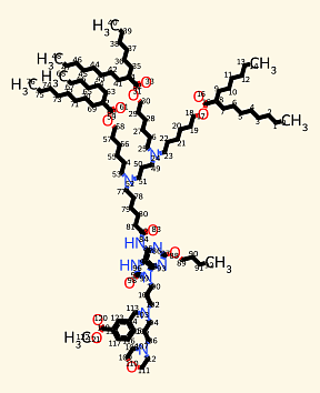 CCCCCCCCC(CCCCCC)C(=O)OCCCCCCN(CCCCCCOC(=O)C(CCCCCC)CCCCCCCC)CCCN(CCCCCCOC(=O)C(CCCCCC)CCCCCCCC)CCCCCC(=O)Nc1nc(OCCCC)nc2c1[nH]c(=O)n2CCCN(CCCN1CCOCC1)Cc1cccc(C(=O)OC)c1